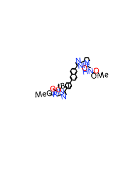 COCN(Cc1ncc(-c2ccc(-c3ccc4cc(-c5cnc(C6CCCN6C(=O)CNC(=O)OC)[nH]5)ccc4c3)cc2)[nH]1)C(=O)OC(C)(C)C